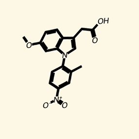 COc1ccc2c(CC(=O)O)cn(-c3ccc([N+](=O)[O-])cc3C)c2c1